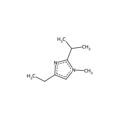 [CH2]Cc1cn(C)c(C(C)C)n1